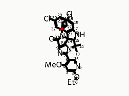 CCOc1cc(OC)c(-c2nc3c4n2C(C)(C)C2Nc5cc(Cl)ccc5C42N(c2cccc(Cl)c2)C3=O)cn1